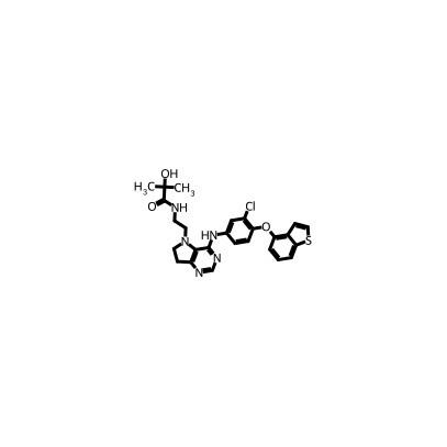 CC(C)(O)C(=O)NCCN1CCc2ncnc(Nc3ccc(Oc4cccc5sccc45)c(Cl)c3)c21